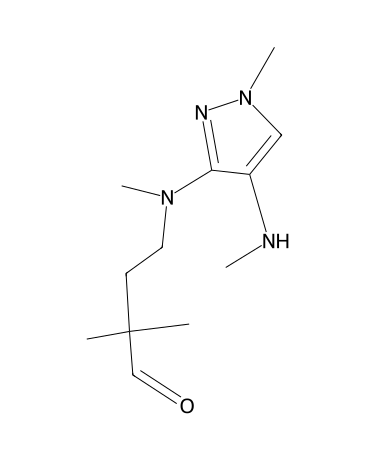 CNc1cn(C)nc1N(C)CCC(C)(C)C=O